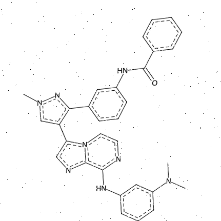 CN(C)c1cccc(Nc2nccn3c(-c4cn(C)nc4-c4cccc(NC(=O)c5ccccc5)c4)cnc23)c1